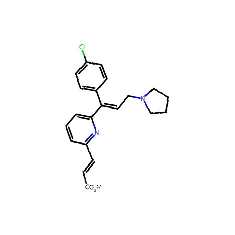 O=C(O)/C=C/c1cccc(/C(=C/CN2CCCC2)c2ccc(Cl)cc2)n1